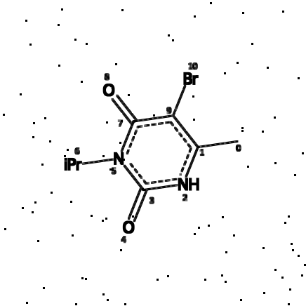 Cc1[nH]c(=O)n(C(C)C)c(=O)c1Br